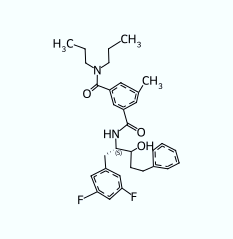 CCCN(CCC)C(=O)c1cc(C)cc(C(=O)N[C@@H](Cc2cc(F)cc(F)c2)C(O)CCc2ccccc2)c1